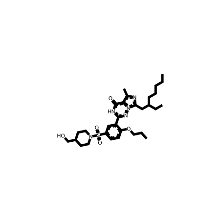 CCCCCC(CC)Cc1nc(C)c2c(=O)[nH]c(-c3cc(S(=O)(=O)N4CCC(CO)CC4)ccc3OCCC)nn12